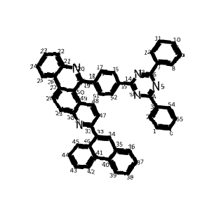 c1ccc(-c2nc(-c3ccccc3)nc(-c3ccc(-c4nc5ccccc5c5ccc6nc(-c7cc8ccccc8c8ccccc78)ccc6c45)cc3)n2)cc1